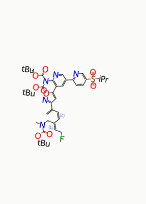 C=C(/C=C\C(=C/CF)CN(C)C(=O)OC(C)(C)C)c1cc(-c2cc(-c3ccc(S(=O)(=O)C(C)C)cn3)cnc2N(C(=O)OC(C)(C)C)C(=O)OC(C)(C)C)on1